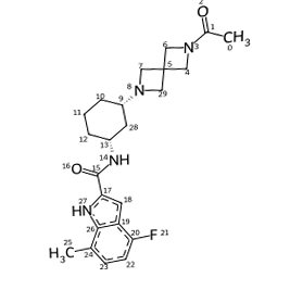 CC(=O)N1CC2(C1)CN([C@H]1CCC[C@@H](NC(=O)c3cc4c(F)ccc(C)c4[nH]3)C1)C2